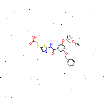 COC[C@H](C)Oc1cc(OCc2ccccc2)cc(C(=O)Nc2ncc(SCC(=O)O)s2)c1